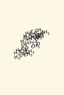 BNPOC(=O)C(C)C1C(C(C)O[Si](C)(C)C(C)(C)C)C(=O)N1[Si](C)(C)C(C)(C)C